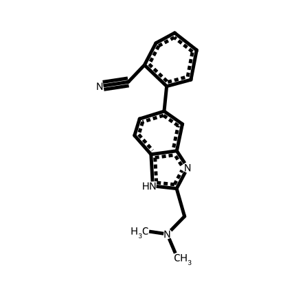 CN(C)Cc1nc2cc(-c3ccccc3C#N)ccc2[nH]1